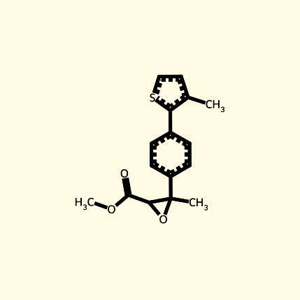 COC(=O)C1OC1(C)c1ccc(-c2sccc2C)cc1